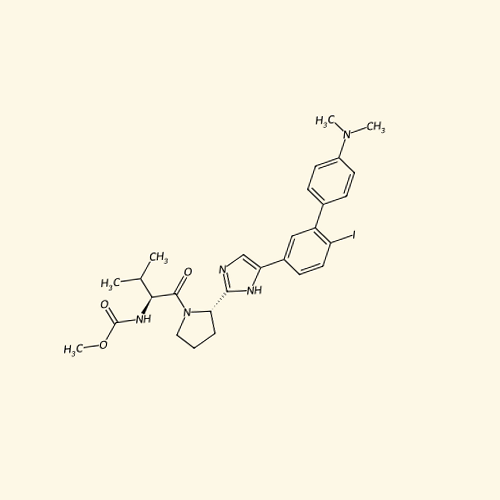 COC(=O)N[C@H](C(=O)N1CCC[C@H]1c1ncc(-c2ccc(I)c(-c3ccc(N(C)C)cc3)c2)[nH]1)C(C)C